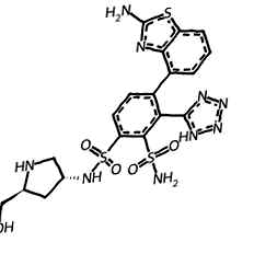 Nc1nc2c(-c3ccc(S(=O)(=O)N[C@H]4CN[C@H](CO)C4)c(S(N)(=O)=O)c3-c3nnn[nH]3)cccc2s1